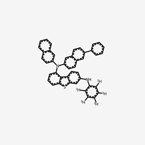 [2H]c1c([2H])c([2H])c(Nc2ccc3c(c2)sc2cccc(N(c4ccc5ccccc5c4)c4ccc5cc(-c6ccccc6)ccc5c4)c23)c([2H])c1[2H]